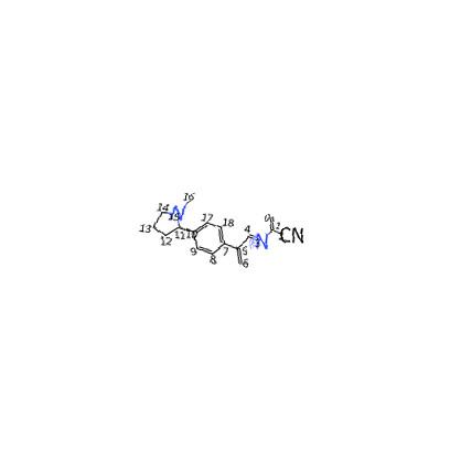 C=C(C#N)/N=C/C(=C)c1ccc(C2CCCN2C)cc1